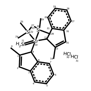 CC1=Cc2ccccc2[CH]1[Zr](=[SiH2])([CH]1C(C)=Cc2ccccc21)([Si](C)(C)C)[Si](C)(C)C.Cl.Cl